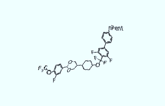 CCCCCc1ccc(-c2cc(F)c(C(F)(F)OC3CCC(C4COC(c5ccc(OC(F)(F)F)c(F)c5)OC4)CC3)c(F)c2)cc1